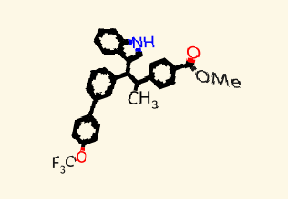 COC(=O)c1ccc(C(C)C(c2cccc(-c3ccc(OC(F)(F)F)cc3)c2)c2c[nH]c3ccccc23)cc1